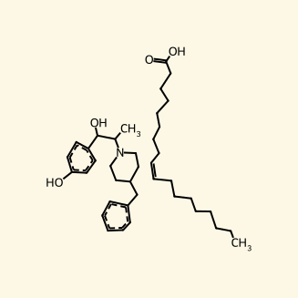 CC(C(O)c1ccc(O)cc1)N1CCC(Cc2ccccc2)CC1.CCCCCCCC/C=C\CCCCCCCC(=O)O